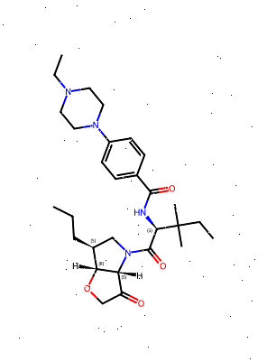 CCC[C@H]1CN(C(=O)[C@@H](NC(=O)c2ccc(N3CCN(CC)CC3)cc2)C(C)(C)CC)[C@@H]2C(=O)CO[C@H]12